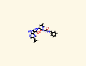 CC(C)C[C@@H](NC(=O)c1c[nH]c2ncc(C3CC3)nc12)C(=O)NCC(=O)NCc1ccccc1